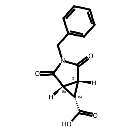 O=C(O)[C@H]1[C@H]2C(=O)N(Cc3ccccc3)C(=O)[C@@H]12